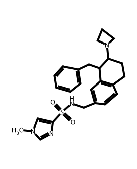 Cn1cnc(S(=O)(=O)NCc2ccc3c(c2)C(Cc2ccccc2)C(N2CCC2)CC3)c1